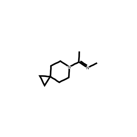 C/N=C(\C)N1CCC2(CC1)CC2